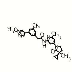 Cc1cc(N2CC[C@@](C)(C3CC3)C2=O)cc(NC(=O)Cc2cc(C#N)cc(-c3cnn(C)c3)c2)n1